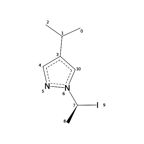 CC(C)c1cnn([C@H](C)I)c1